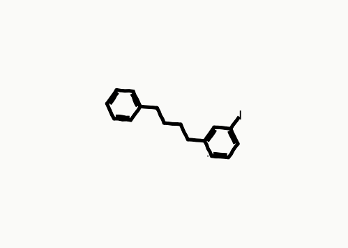 Ic1cc[c]c(CCCCc2ccccc2)c1